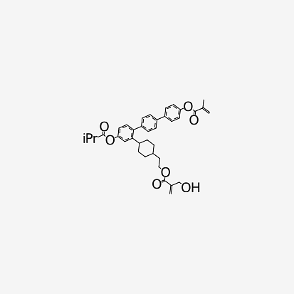 C=C(C)C(=O)Oc1ccc(-c2ccc(-c3ccc(OC(=O)C(C)C)cc3C3CCC(CCOC(=O)C(=C)CO)CC3)cc2)cc1